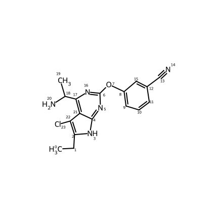 CCc1[nH]c2nc(Oc3cccc(C#N)c3)nc(C(C)N)c2c1Cl